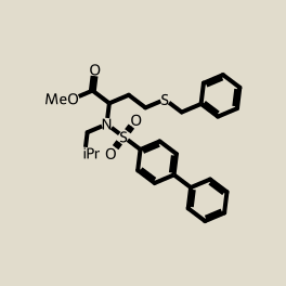 COC(=O)C(CCSCc1ccccc1)N(CC(C)C)S(=O)(=O)c1ccc(-c2ccccc2)cc1